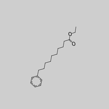 CCOC(=O)CCCCCCCCCc1ccccc1